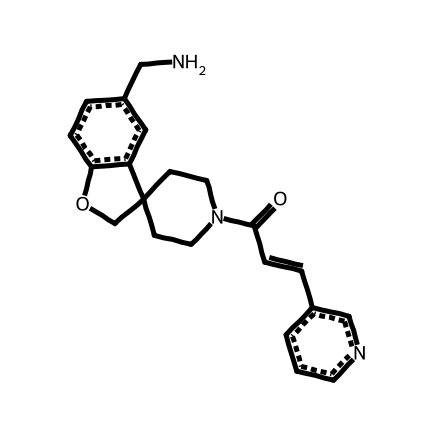 NCc1ccc2c(c1)C1(CCN(C(=O)C=Cc3cccnc3)CC1)CO2